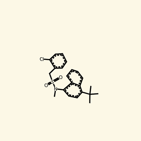 CN(c1ccc(C(C)(C)C)c2ccccc12)S(=O)(=O)Cc1ccccc1Cl